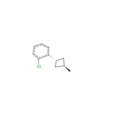 C[C@H]1C[C@H](c2ccccc2Cl)C1